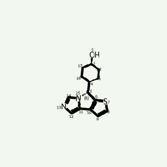 O[C@H]1CC[C@@H]([C@@H]2c3sccc3-c3cncn32)CC1